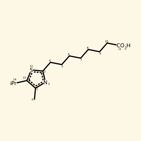 Cc1nc(CCCCCCCC(=O)O)sc1C(C)C